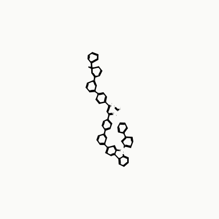 CC1(c2ccccc2)C=C(c2cccc(-c3ccc(-c4cc(-c5ccc(-c6cccc(-c7ccc8c9ccccc9n(-c9cccc(-c%10ccccc%10)c9)c8c7)c6)cc5)nc(Cl)n4)cc3)c2)C=CC1